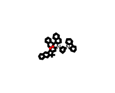 CC1(C)c2cc(N(c3cccc(-n4c5ccccc5c5ccccc54)c3)c3ccc4ccccc4c3-c3cccc4ccccc34)ccc2-c2cc3ccccc3cc21